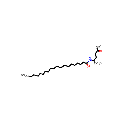 CNC(=O)CCC(NC(O)CCCCCCCCCCCCCCCCCCC(=O)O)C(=O)O